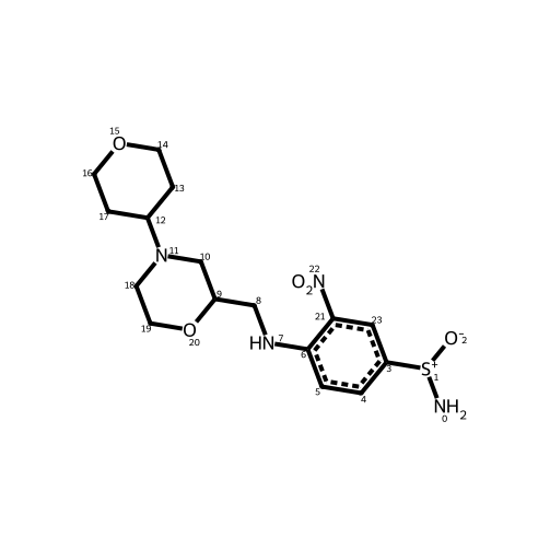 N[S+]([O-])c1ccc(NCC2CN(C3CCOCC3)CCO2)c([N+](=O)[O-])c1